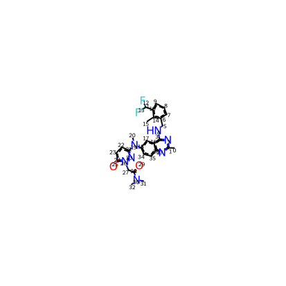 Cc1nc(NCc2cccc(C(F)F)c2C)c2cc(N(C)c3ccc(=O)n(CC(=O)N(C)C)n3)ccc2n1